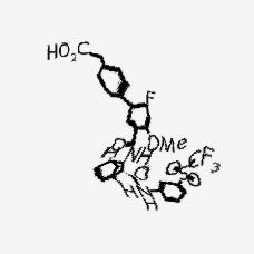 COc1cc(F)c(-c2ccc(CCC(=O)O)cc2)cc1C(=O)N[C@@H]1[C@H](C(=O)Nc2cccc(S(=O)(=O)C(F)(F)F)c2)[C@H]2C=C[C@@H]1C2